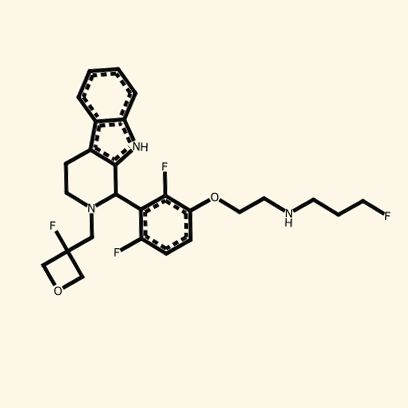 FCCCNCCOc1ccc(F)c(C2c3[nH]c4ccccc4c3CCN2CC2(F)COC2)c1F